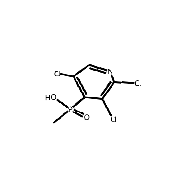 CP(=O)(O)c1c(Cl)cnc(Cl)c1Cl